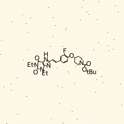 CCn1c(=O)c2[nH]c(/C=C/c3ccc(OC4CCN(C(=O)OC(C)(C)C)CC4)c(F)c3)nc2n(CC)c1=O